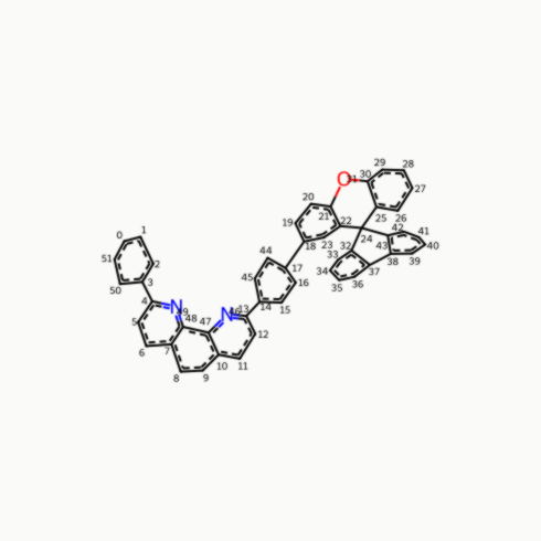 c1ccc(-c2ccc3ccc4ccc(-c5ccc(-c6ccc7c(c6)C6(c8ccccc8O7)c7ccccc7-c7ccccc76)cc5)nc4c3n2)cc1